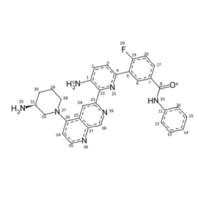 Nc1ccc(-c2cc(C(=O)Nc3ccccc3)ccc2F)nc1-c1cc2c(N3CCC[C@H](N)C3)ccnc2cn1